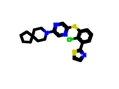 Clc1c(Sc2cnc(N3CCC4(CCCC4)CC3)cn2)cccc1-c1nccs1